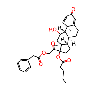 CCCCC(=O)O[C@]1(C(=O)COC(=O)Cc2ccccc2)CC[C@H]2[C@@H]3CCC4=CC(=O)C=C[C@]4(C)[C@H]3C(O)C[C@@]21C